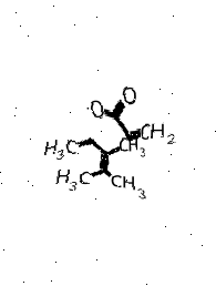 C=CC([O])=O.CCC(C)=C(C)C